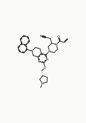 C=CC(=O)N1CCN(c2nc(OC[C@@H]3CCN(C)C3)nc3c2CCN(c2cccc4ccccc24)C3)CC1CC#N